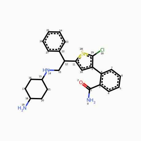 NC(=O)c1ccccc1-c1cc(C(CNC2CCC(N)CC2)c2ccccc2)sc1Cl